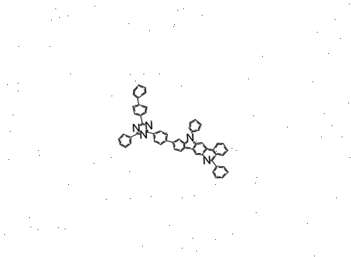 c1ccc(-c2ccc(-c3nc(-c4ccccc4)nc(-c4ccc(-c5ccc6c7cc8nc(-c9ccccc9)c9ccccc9c8cc7n(-c7ccccc7)c6c5)cc4)n3)cc2)cc1